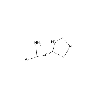 CC(=O)C(N)CC1CNCN1